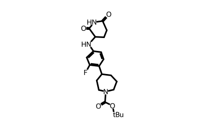 CC(C)(C)OC(=O)N1CCCC(c2ccc(NC3CCC(=O)NC3=O)cc2F)CC1